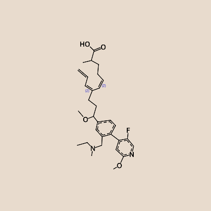 C=C/C=C(\C=C/CCC(C)C(=O)O)CCC(OC)c1ccc(-c2cc(OC)ncc2F)c(CN(C)CC)c1